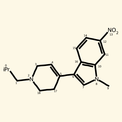 CC(C)CN1CC=C(c2cn(C)c3cc([N+](=O)[O-])ccc23)CC1